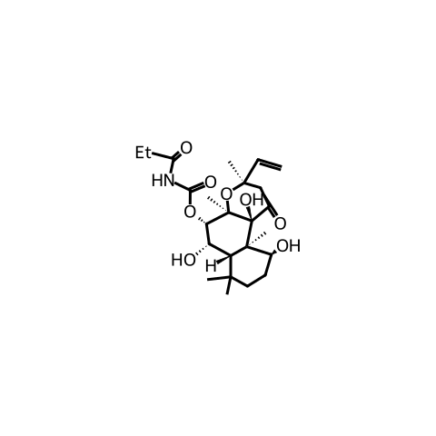 C=C[C@@]1(C)CC(=O)[C@]2(O)[C@@]3(C)[C@@H](O)CCC(C)(C)[C@@H]3[C@H](O)[C@H](OC(=O)NC(=O)CC)[C@@]2(C)O1